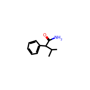 CC(C)[C](C(N)=O)c1ccccc1